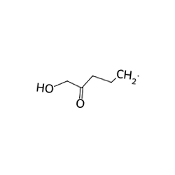 [CH2]CCC(=O)CO